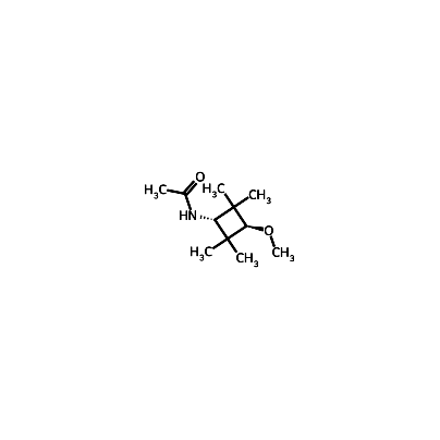 CO[C@H]1C(C)(C)[C@H](NC(C)=O)C1(C)C